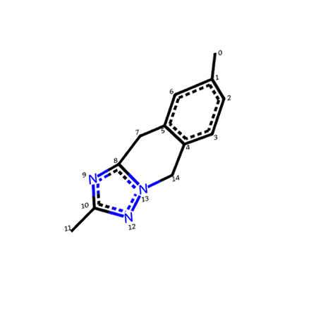 Cc1ccc2c(c1)Cc1nc(C)nn1C2